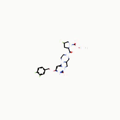 CC(C)(C)OC(=O)N1CC(F)CC1C(=O)N1CCN2c3cc(OCc4ccc(F)c(F)c4)nc(=O)n3CC2C1